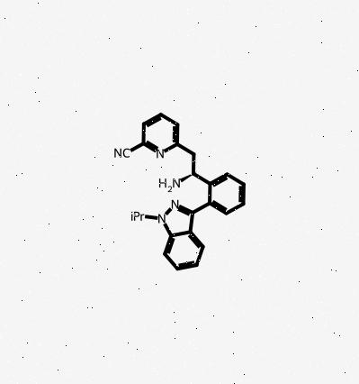 CC(C)n1nc(-c2ccccc2[C@@H](N)Cc2cccc(C#N)n2)c2ccccc21